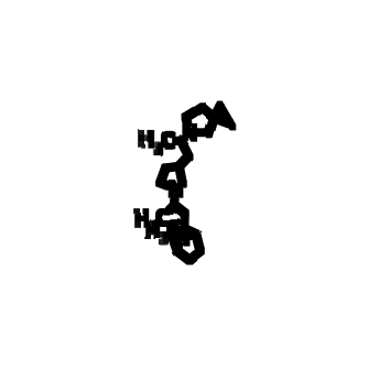 CC(CC1CC2CCC1N2C)N1CCC(CC(C)N2CCC3(CC3)C2)C1